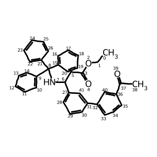 CCOC(=O)CC(NC(c1ccccc1)(c1ccccc1)c1ccccc1)c1cccc(-c2cccc(C(C)=O)c2)c1